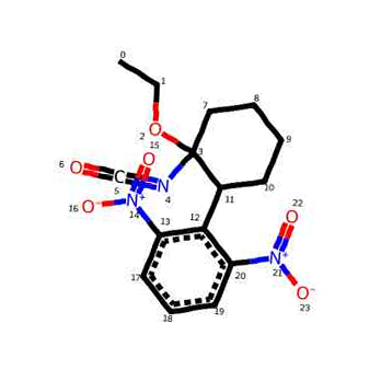 CCOC1(N=C=O)CCCCC1c1c([N+](=O)[O-])cccc1[N+](=O)[O-]